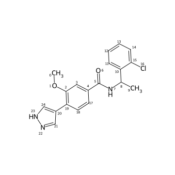 COc1cc(C(=O)NC(C)c2ccccc2Cl)ccc1-c1cn[nH]c1